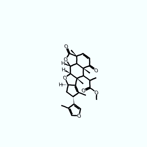 COC(=O)C(C)C1[C@@]2(C)C(=O)C=C[C@@]3(C)C(=O)O[C@H](C23)[C@H]2O[C@@H]3C[C@@H](c4cocc4C)C(C)=C3[C@@]12C